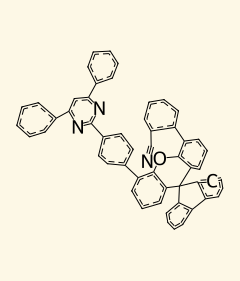 N#Cc1ccccc1-c1cccc2c1Oc1c(-c3ccc(-c4nc(-c5ccccc5)cc(-c5ccccc5)n4)cc3)cccc1C21c2ccccc2-c2ccccc21